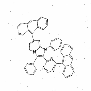 C1=C(c2c3ccccc3cc3ccccc23)C=C2N(C1)C(c1ccccc1)=C(c1ncnc(-c3c4ccccc4cc4ccccc34)n1)N2c1ccccc1